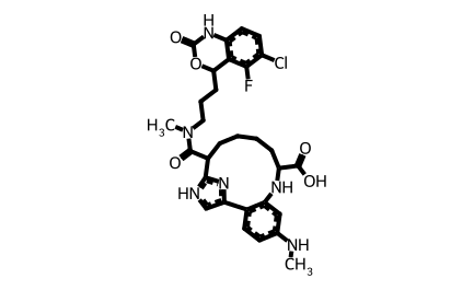 CNc1ccc2c(c1)NC(C(=O)O)CCCCC(C(=O)N(C)CCCC1OC(=O)Nc3ccc(Cl)c(F)c31)c1nc-2c[nH]1